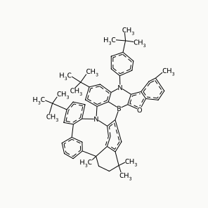 Cc1ccc2oc3c(c2c1)N(c1ccc(C(C)(C)C)cc1)c1cc(C(C)(C)C)cc2c1B3c1cc3c4cc1N2c1ccc(C(C)(C)C)cc1-c1cccc(c1)C4(C)CCC3(C)C